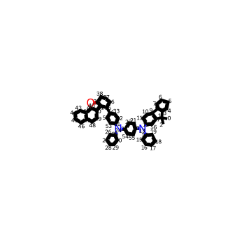 CC1(C)c2ccccc2-c2ccc(N(c3ccccc3)c3ccc(N(c4ccccc4)c4ccc(-c5cccc6oc7c8ccccc8ccc7c56)cc4)cc3)cc21